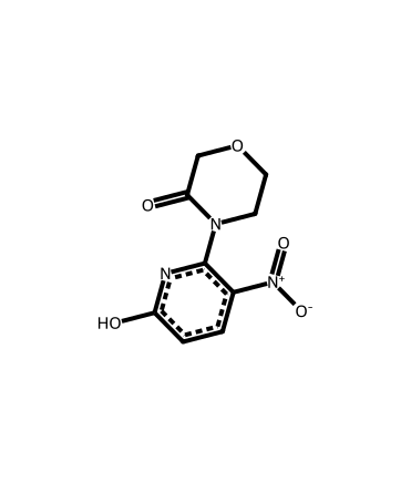 O=C1COCCN1c1nc(O)ccc1[N+](=O)[O-]